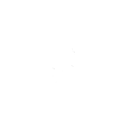 O=S(=O)(NC1CC1)C1=CNCc2cccn21